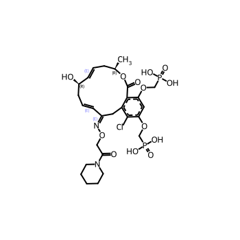 C[C@@H]1C/C=C/[C@H](O)C/C=C/C(=N/OCC(=O)N2CCCCC2)Cc2c(Cl)c(OCP(=O)(O)O)cc(OCP(=O)(O)O)c2C(=O)O1